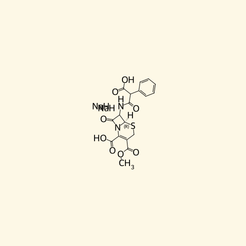 COC(=O)C1=C(C(=O)O)N2C(=O)C(NC(=O)C(C(=O)O)c3ccccc3)[C@H]2SC1.[NaH].[NaH]